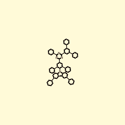 c1ccc(-c2cc(-c3ccccc3)cc(-c3nc(-c4ccccc4)nc(-c4cc(-c5ccccc5)c(-n5c6ccc(-c7ccccc7)cc6c6cc(-c7ccccc7)ccc65)c(-c5ccccc5)c4)n3)c2)cc1